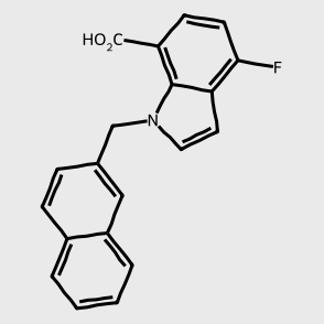 O=C(O)c1ccc(F)c2ccn(Cc3ccc4ccccc4c3)c12